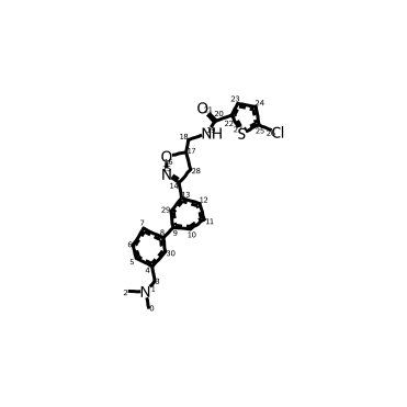 CN(C)Cc1cccc(-c2cccc(C3=NOC(CNC(=O)c4ccc(Cl)s4)C3)c2)c1